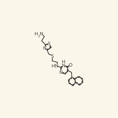 NCCc1nc(CSCCNc2ncc(Cc3cccc4ccccc34)c(=O)[nH]2)cs1